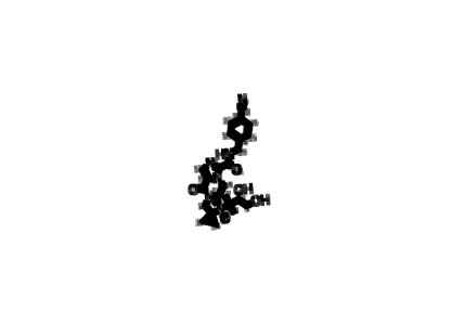 CC(C)([C@H](O)CO)S(=O)(=O)C1(CN2CCn3c(cnc3C(=O)NCc3ccc(C#N)cc3)C2=O)CC1